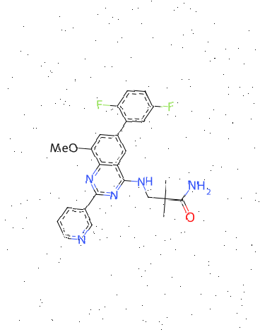 COc1cc(-c2cc(F)ccc2F)cc2c(NCC(C)(C)C(N)=O)nc(-c3cccnc3)nc12